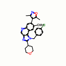 COc1cc2c(cc1-c1c(C)noc1C)ncc1nc(C3CCOCC3)n(Cc3ccc(Cl)cc3)c12